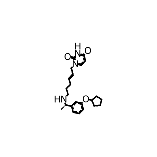 C[C@@H](NCCC/C=C/Cn1ccc(=O)[nH]c1=O)c1cccc(OC2CCCC2)c1